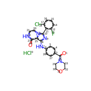 Cl.O=C(c1ccc(Nc2nc(-c3c(F)cccc3Cl)n3cc[nH]c(=O)c23)cc1)N1CCOCC1